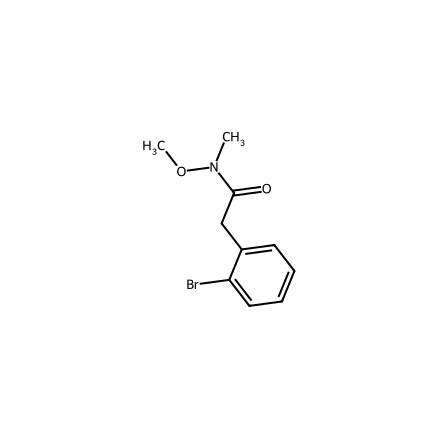 CON(C)C(=O)Cc1ccccc1Br